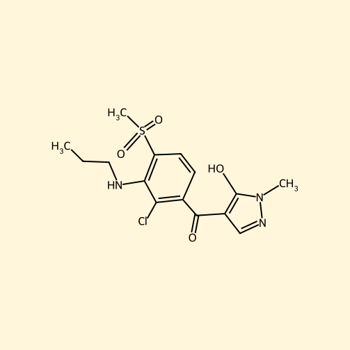 CCCNc1c(S(C)(=O)=O)ccc(C(=O)c2cnn(C)c2O)c1Cl